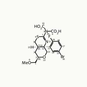 COC[C@H]1C[C@H]2CSC(N(C(=O)O)C(=O)O)=N[C@@]2(c2cc(Br)ccc2F)CO1